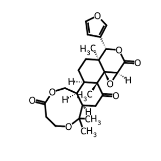 CC1(C)OCCC(=O)OC[C@@H]2[C@H]1CC(=O)[C@]1(C)[C@@H]2CC[C@@]2(C)[C@H](c3ccoc3)OC(=O)[C@H]3O[C@]321